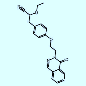 CCOC(C#N)Cc1ccc(OCCn2ncc3ccccc3c2=O)cc1